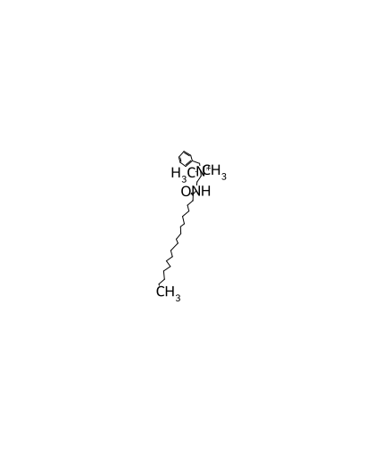 CCCCCCCCCCCCCCCCCC(=O)NCC[N+](C)(C)Cc1ccccc1